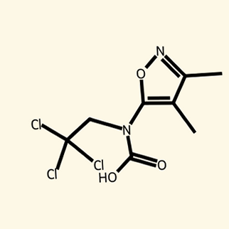 Cc1noc(N(CC(Cl)(Cl)Cl)C(=O)O)c1C